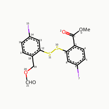 COC(=O)c1ccc(I)cc1SSc1cc(I)ccc1COC=O